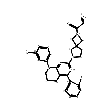 C=CC(=O)N1CC2(CCN(c3nc(-c4ccccc4F)c4c(n3)N(c3cccc(Cl)c3)CCC4)C2)C1